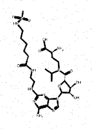 CC(C)N(CC[C@H](N)C(=O)O)C(=O)[C@H]1OC(n2cnc3c(N)nc(NCCNC(=O)CCCCCNS(C)(=O)=O)nc32)[C@H](O)[C@@H]1O